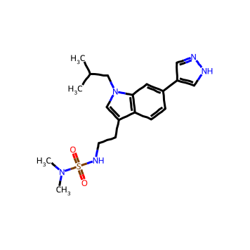 CC(C)Cn1cc(CCNS(=O)(=O)N(C)C)c2ccc(-c3cn[nH]c3)cc21